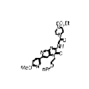 CCCOCCn1c(=O)c(NCC(=O)N2CCN(C(=O)OCC)CC2)nc2cnc(-c3ccc(OC)nc3)cc21